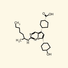 CCCCCC(C)Nc1ncc2c([C@H]3CC[C@@H](C(=O)O)CC3)cc([C@H]3CC[C@H](O)CC3)n2n1